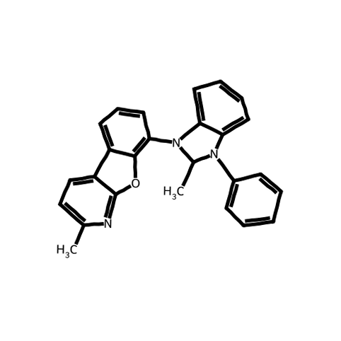 Cc1ccc2c(n1)oc1c(N3c4ccccc4N(c4ccccc4)C3C)cccc12